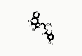 CCc1nn(C[C@@H](C)COC(=O)c2cc(C(F)(F)F)ccc2F)c2c1C(=O)NCC1(CCOCC1)C2